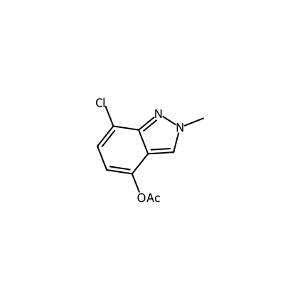 CC(=O)Oc1ccc(Cl)c2nn(C)cc12